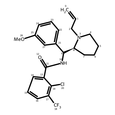 C=CCN1CCCC[C@H]1C(NC(=O)c1cccc(C(F)(F)F)c1Cl)c1cccc(OC)c1